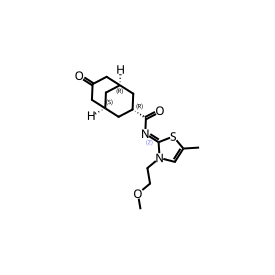 COCCn1cc(C)s/c1=N\C(=O)[C@H]1C[C@@H]2CC(=O)C[C@@H](C2)C1